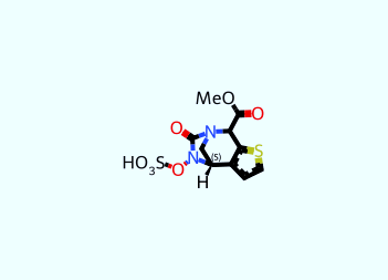 COC(=O)C1c2sccc2[C@H]2CN1C(=O)N2OS(=O)(=O)O